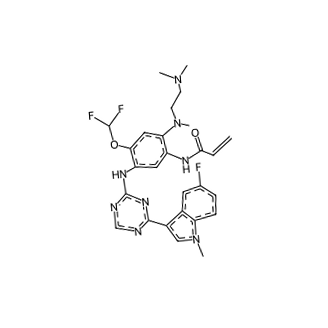 C=CC(=O)Nc1cc(Nc2ncnc(-c3cn(C)c4ccc(F)cc34)n2)c(OC(F)F)cc1N(C)CCN(C)C